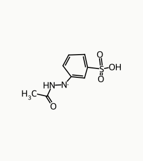 CC(=O)N[N]c1cccc(S(=O)(=O)O)c1